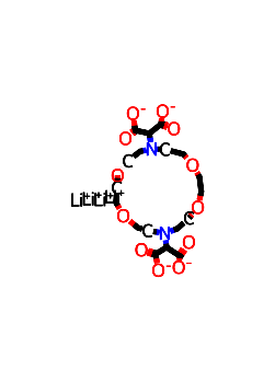 O=C([O-])C(C(=O)[O-])N1CCOCCOCCN(C(C(=O)[O-])C(=O)[O-])CCOCCOCC1.[Li+].[Li+].[Li+].[Li+]